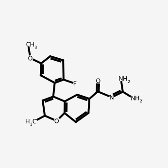 COc1ccc(F)c(C2=CC(C)Oc3ccc(C(=O)N=C(N)N)cc32)c1